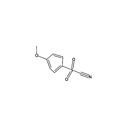 COc1ccc(S(=O)(=O)C#N)cc1